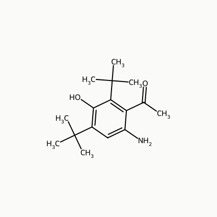 CC(=O)c1c(N)cc(C(C)(C)C)c(O)c1C(C)(C)C